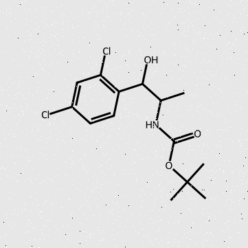 CC(NC(=O)OC(C)(C)C)C(O)c1ccc(Cl)cc1Cl